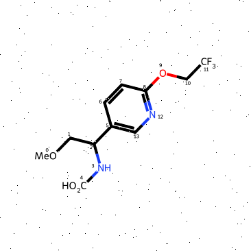 COCC(NC(=O)O)c1ccc(OCC(F)(F)F)nc1